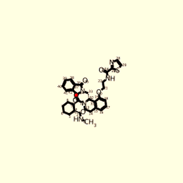 CNC(=O)[C@H]1CCCC[C@H]1C(=O)N1CCc2cccc(OCCNC(=O)c3nccs3)c2[C@H]1CN1C(=O)c2ccccc2C1=O